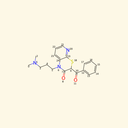 CN(C)CCCN1C(=O)C(C(=O)c2ccccc2)Sc2ncccc21